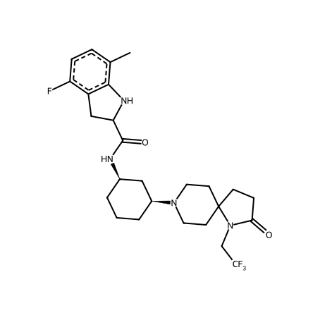 Cc1ccc(F)c2c1NC(C(=O)N[C@@H]1CCC[C@H](N3CCC4(CCC(=O)N4CC(F)(F)F)CC3)C1)C2